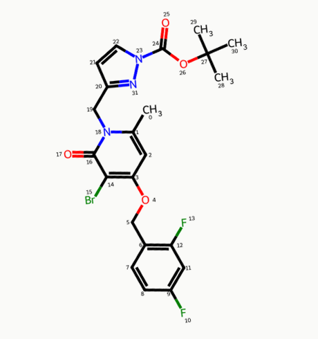 Cc1cc(OCc2ccc(F)cc2F)c(Br)c(=O)n1Cc1ccn(C(=O)OC(C)(C)C)n1